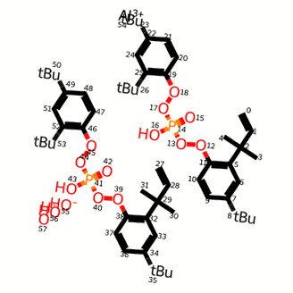 C=CC(C)(C)c1cc(C(C)(C)C)ccc1OOP(=O)(O)OOc1ccc(C(C)(C)C)cc1C(C)(C)C.C=CC(C)(C)c1cc(C(C)(C)C)ccc1OOP(=O)(O)OOc1ccc(C(C)(C)C)cc1C(C)(C)C.[Al+3].[OH-].[OH-].[OH-]